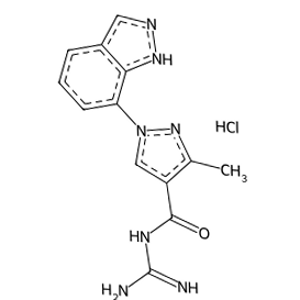 Cc1nn(-c2cccc3cn[nH]c23)cc1C(=O)NC(=N)N.Cl